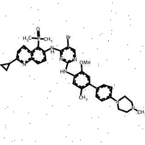 COc1cc(-c2ccc(N3CCN(C)CC3)cc2)c(C)cc1Nc1ncc(Br)c(Nc2ccc3nc(C4CC4)ccc3c2P(C)(C)=O)n1